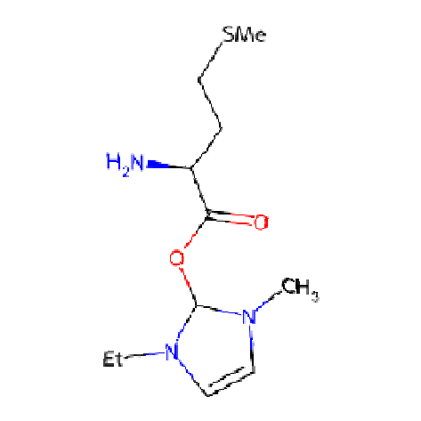 CCN1C=CN(C)C1OC(=O)[C@@H](N)CCSC